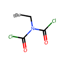 CC(C)(C)CN(C(=O)Cl)C(=O)Cl